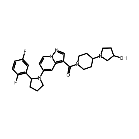 O=C(c1cnn2ccc(N3CCCC3c3cc(F)ccc3F)cc12)N1CCC(N2CCC(O)C2)CC1